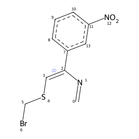 C=N/C(=C\SCBr)c1cccc([N+](=O)[O-])c1